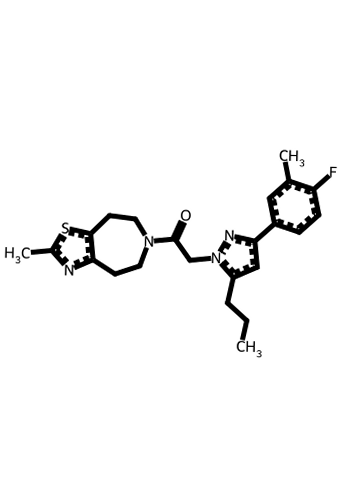 CCCc1cc(-c2ccc(F)c(C)c2)nn1CC(=O)N1CCc2nc(C)sc2CC1